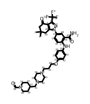 CC1(C)CC(=O)c2c(C(F)(F)F)nn(-c3ccc(Nc4ccc(OCCCN5CCN(CC6CCN(C=O)CC6)CC5)cc4)c(C(N)=O)c3)c2C1